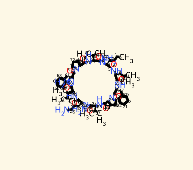 CCCC[C@H]1C(=O)N[C@@H](CC(C)C)C(=O)N[C@H](Cc2ccccc2)C(=O)N2CCC[C@H]2C(=O)N[C@@H](C(C)C)C(=O)N(N)[C@@H](CCCN)C(=O)N[C@@H]([C@H](C)C(C)C)C(=O)N(N)[C@H](Cc2ccccc2)C(=O)N2CCC[C@H]2C(=O)N[C@@H](C(C)C)C(=O)N1N